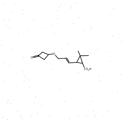 CC1(C)C(C=CCOC2CC(=O)C2)C1C(=O)O